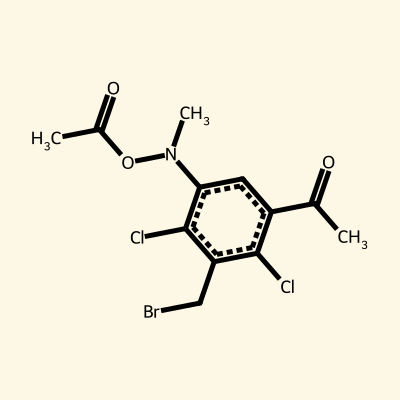 CC(=O)ON(C)c1cc(C(C)=O)c(Cl)c(CBr)c1Cl